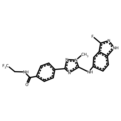 Cn1nc(-c2ccc(C(=O)NCC(F)(F)F)cc2)nc1Nc1ccc2[nH]nc(F)c2c1